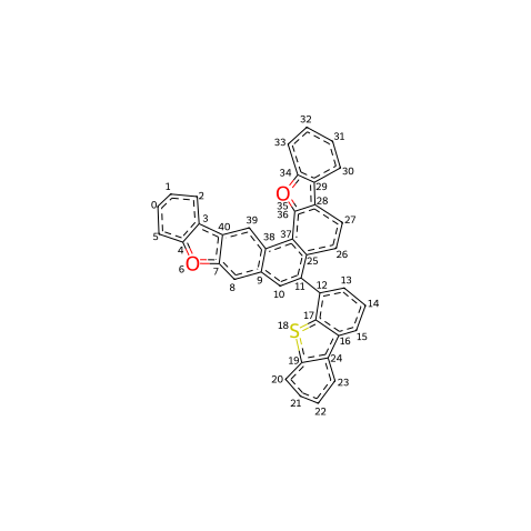 c1ccc2c(c1)oc1cc3cc(-c4cccc5c4sc4ccccc45)c4ccc5c6ccccc6oc5c4c3cc12